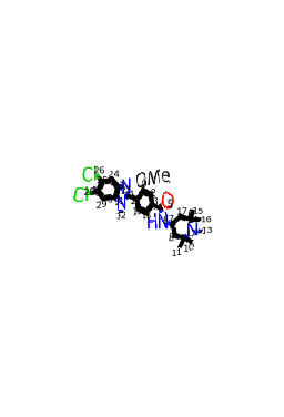 COc1cc(C(=O)NC2CC(C)(C)N(C)C(C)(C)C2)ccc1-c1nc2cc(Cl)c(Cl)cc2n1C